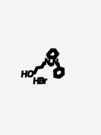 Br.OCCCCN1CN(Cc2ccccc2)c2ccccc21